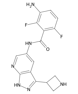 Nc1ccc(F)c(C(=O)Nc2cnc3[nH]nc(C4CNC4)c3c2)c1F